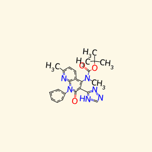 Cc1ccc2c(N(C)C(=O)OC(C)(C)C)c(-c3nnc[nH]3)c(=O)n(-c3ccccc3)c2n1